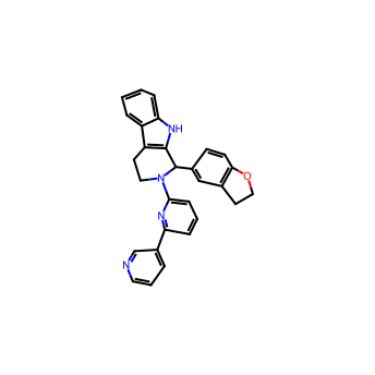 c1cncc(-c2cccc(N3CCc4c([nH]c5ccccc45)C3c3ccc4c(c3)CCO4)n2)c1